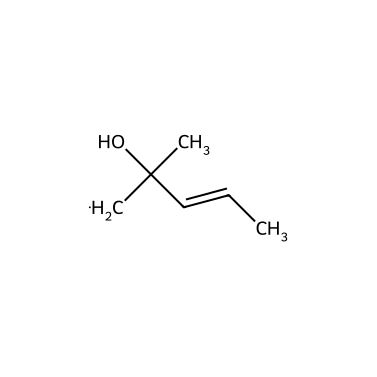 [CH2]C(C)(O)C=CC